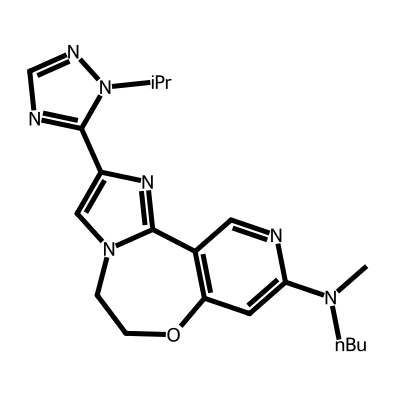 CCCCN(C)c1cc2c(cn1)-c1nc(-c3ncnn3C(C)C)cn1CCO2